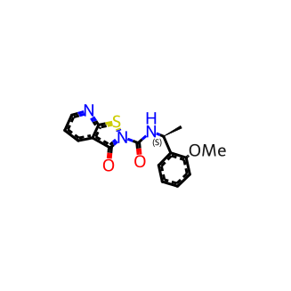 COc1ccccc1[C@H](C)NC(=O)n1sc2ncccc2c1=O